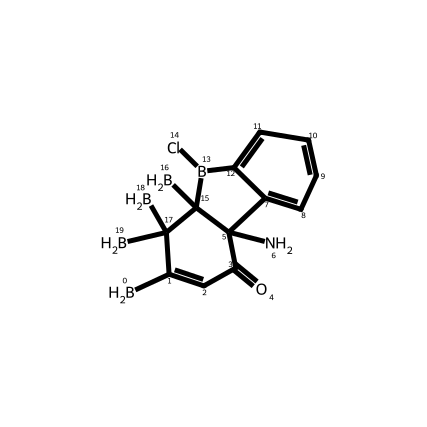 BC1=CC(=O)C2(N)c3ccccc3B(Cl)C2(B)C1(B)B